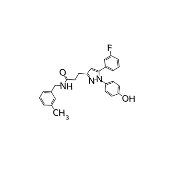 Cc1cccc(CNC(=O)CCc2cc(-c3cccc(F)c3)n(-c3ccc(O)cc3)n2)c1